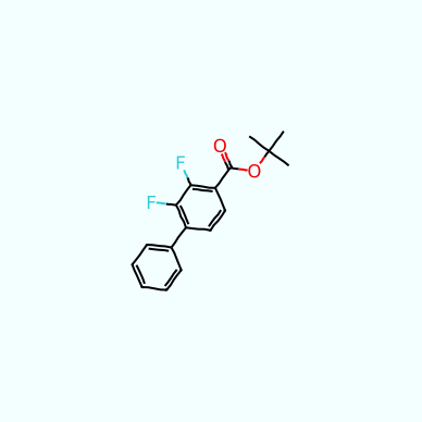 CC(C)(C)OC(=O)c1ccc(-c2ccccc2)c(F)c1F